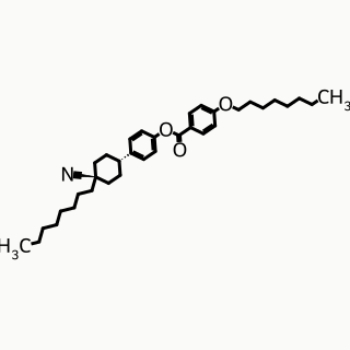 CCCCCCCCOc1ccc(C(=O)Oc2ccc([C@H]3CC[C@@](C#N)(CCCCCCCC)CC3)cc2)cc1